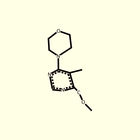 COCc1ncnc(N2CCOCC2)c1C